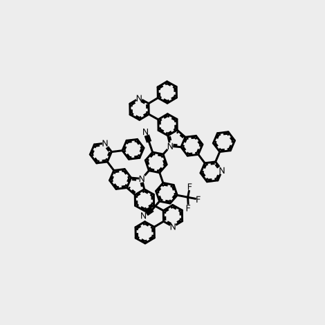 N#Cc1cc(-c2cc(-n3c4cc(-c5cccnc5-c5ccccc5)ccc4c4ccc(-c5cccnc5-c5ccccc5)cc43)c(C#N)cc2-n2c3cc(-c4cccnc4-c4ccccc4)ccc3c3ccc(-c4cccnc4-c4ccccc4)cc32)cc(C(F)(F)F)c1